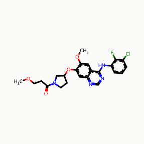 COCCC(=O)N1CCC(Oc2cc3ncnc(Nc4cccc(Cl)c4F)c3cc2OC)C1